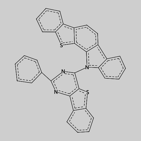 c1ccc(-c2nc(-n3c4ccccc4c4ccc5c6ccccc6sc5c43)c3sc4ccccc4c3n2)cc1